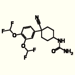 N#CC1(c2ccc(OC(F)F)c(OC(F)F)c2)CCC(NC(N)=O)CC1